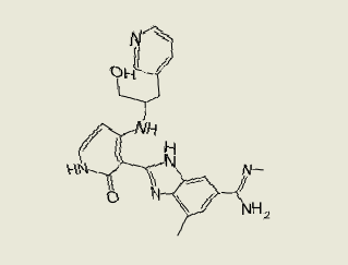 CN=C(N)c1cc(C)c2nc(-c3c(NC(CO)Cc4cccnc4)cc[nH]c3=O)[nH]c2c1